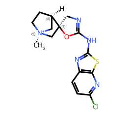 C[N@+]12CC[C@H](C1)[C@]1(CN=C(Nc3nc4ccc(Cl)nc4s3)O1)C2